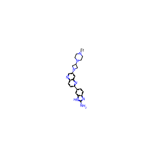 CCN1CCN(C2CN(c3cnc4ccc(-c5ccc6nc(N)[nH]c6c5)nc4c3)C2)CC1